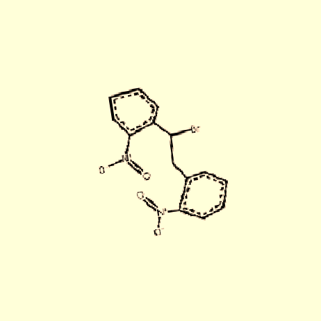 O=[N+]([O-])c1ccccc1CC(Br)c1ccccc1[N+](=O)[O-]